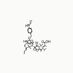 C=C/C=C(\C=C/CNC(=O)OCc1ccc(NC=O)cc1)C(C)(C)C(NC)C(=O)NC(C(=O)N(C)C(/C=C(\C)C(=O)O)C(C)C)C(C)(C)C